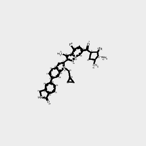 CCC1C(C(=O)c2cc(F)c3c(C)c(-c4cc5ccc(-c6ccc7c(c6)CNC7=O)cc5n4CC4CC4)nn3c2)CC(C)[C@H]1N